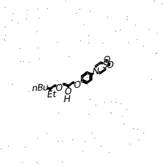 CCCCC(CC)COCC(O)COc1ccc(N2CCS(=O)(=O)CC2)cc1